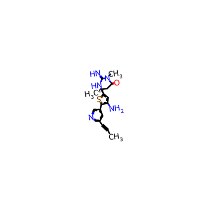 CC#Cc1cncc(-c2sc([C@]3(C)CC(=O)N(C)C(=N)N3)cc2N)c1